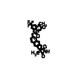 CN1C(=O)Cn2c(=O)n(Cc3ccc4cc5c(cc4n3)CC3(C5)C(=O)NC(=O)N3C)c3cc(C(F)(F)F)cc1c32